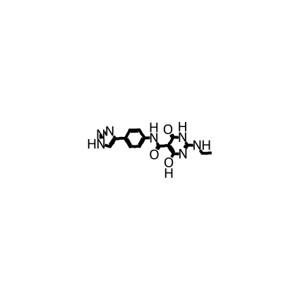 CCNc1nc(O)c(C(=O)Nc2ccc(-c3c[nH]nn3)cc2)c(=O)[nH]1